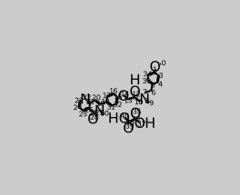 COc1ccc(CCN(C)CC(O)COc2ccc(-c3cc4ncccc4c(=O)n3C)cc2)cc1.O=C(O)C(=O)O